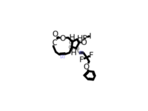 O=C1CCC/C=C\C[C@H]2[C@@H](CO1)C[C@@H](OPI)[C@@H]2/C=C/C(F)(F)COc1ccccc1